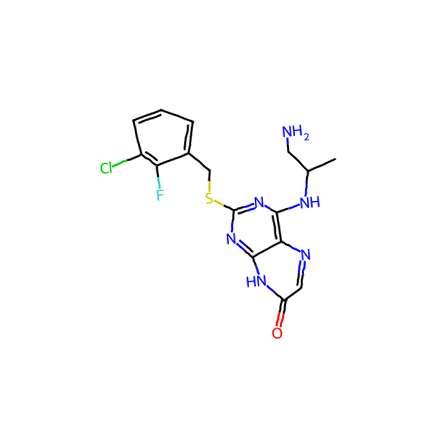 CC(CN)Nc1nc(SCc2cccc(Cl)c2F)nc2[nH]c(=O)cnc12